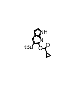 CC(C)(C)c1cc2cc[nH]c2nc1OC(=O)C1CC1